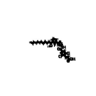 CCCCCCCCCCCC(OC)c1cccc(-c2csc(NC(=O)c3cc(Cl)c(C=C(C)C(=O)O)c(Cl)c3)n2)c1F